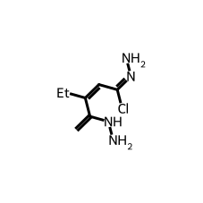 C=C(NN)/C(=C\C(Cl)=N/N)CC